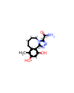 Cc1c(O)cc(O)c2c1CCCCn1c(C(N)=O)nnc1-2